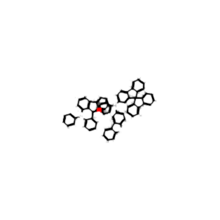 c1ccc(N2c3ccccc3C3(c4ccccc4)c4cc(N(c5ccc6c(c5)C5(c7ccccc7-c7ccccc75)c5ccccc5-6)c5ccc6oc7ccccc7c6c5)ccc4-c4cccc2c43)cc1